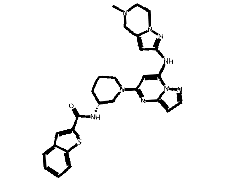 CN1CCn2nc(Nc3cc(N4CCC[C@@H](NC(=O)c5cc6ccccc6s5)C4)nc4ccnn34)cc2C1